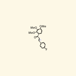 COc1ccc(C(=O)/C=C/c2ccc(F)cc2)c(OC)c1OC